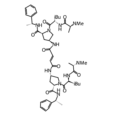 CC[C@H](C)[C@H](NC(=O)[C@H](C)NC)C(=O)N1C[C@@H](NC(=O)/C=C/C(=O)N[C@H]2C[C@@H](C(=O)N[C@H](C)c3ccccc3)N(C(=O)[C@@H](NC(=O)[C@H](C)NC)[C@@H](C)CC)C2)C[C@H]1C(=O)N[C@H](C)c1ccccc1